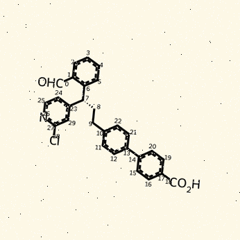 O=Cc1ccccc1[C@H](CCc1ccc(-c2ccc(C(=O)O)cc2)cc1)c1ccnc(Cl)c1